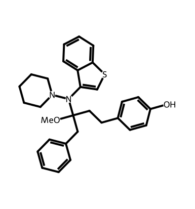 COC(CCc1ccc(O)cc1)(Cc1ccccc1)N(c1csc2ccccc12)N1CCCCC1